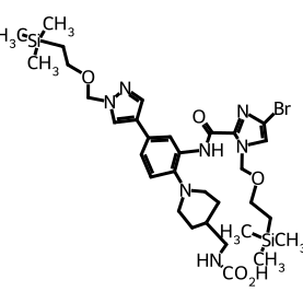 C[Si](C)(C)CCOCn1cc(-c2ccc(N3CCC(CNC(=O)O)CC3)c(NC(=O)c3nc(Br)cn3COCC[Si](C)(C)C)c2)cn1